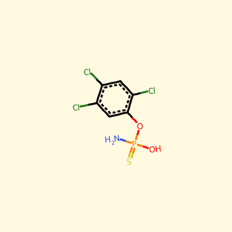 NP(O)(=S)Oc1cc(Cl)c(Cl)cc1Cl